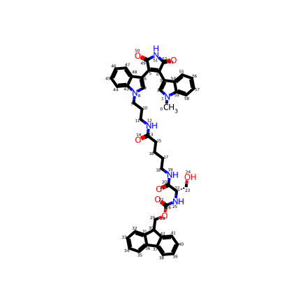 Cn1cc(C2=C(c3cn(CCCNC(=O)CCCCNC(=O)[C@H](CO)NC(=O)OCC4c5ccccc5-c5ccccc54)c4ccccc34)C(=O)NC2=O)c2ccccc21